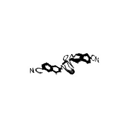 N#Cc1ccc2c(c1)CCC(N1CCN(c3cc4ccc(C#N)cc4cn3)C(=O)C1)C2